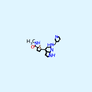 CNC(=O)c1ccc(-c2cc(NCc3cccnc3)nc3[nH]ccc23)s1